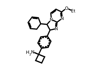 CCOC1=NC2=NC(c3ccc(C4(N)CCC4)cc3)C(C3C=CC=CC3)N2C=C1